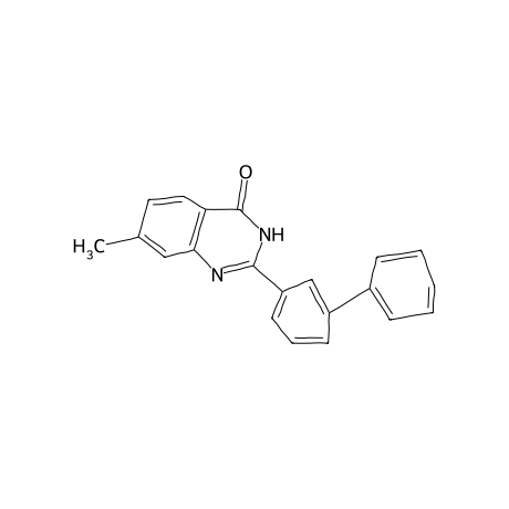 Cc1ccc2c(=O)[nH]c(-c3cccc(-c4ccccc4)c3)nc2c1